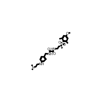 COc1cc(C)c(S(=O)(=O)N(C)CCNC(=O)C(=O)NCc2ccc(NCCN(C)C)cc2)c(C)c1